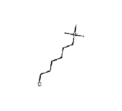 C[N+](C)(C)CCCCCCCl